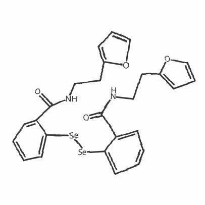 O=C(NCCc1ccco1)c1ccccc1[Se][Se]c1ccccc1C(=O)NCCc1ccco1